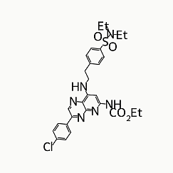 CCOC(=O)Nc1cc(NCCc2ccc(S(=O)(=O)N(CC)CC)cc2)c2ncc(-c3ccc(Cl)cc3)nc2n1